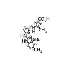 Cc1ccc(NC(=O)Nc2ncc(CNc3nc(C(=O)O)cn3C)s2)c(OCC(C)C)c1